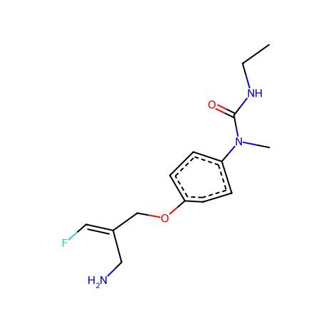 CCNC(=O)N(C)c1ccc(OC/C(=C/F)CN)cc1